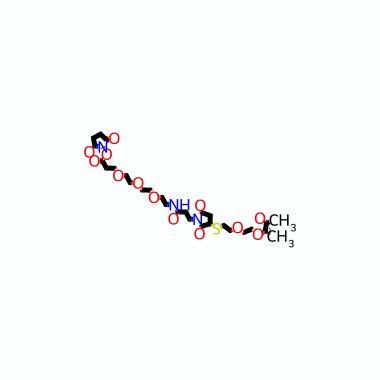 CC(=O)[C@H](C)OCCOCCSC1CC(=O)N(CCC(=O)NCCOCCOCCOCCC(=O)ON2C(=O)CCC2=O)C1=O